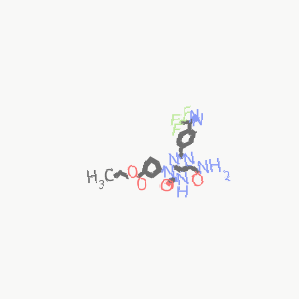 CCCCOC(=O)c1cccc(-n2c(=O)[nH]c3c(C(N)=O)nc(-c4ccc(C5(C(F)(F)F)N=N5)cc4)nc32)c1